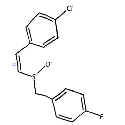 [O-][S+](/C=C\c1ccc(Cl)cc1)Cc1ccc(F)cc1